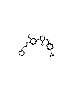 CCc1cc(N2CC[C@H](Oc3ccc(C4CC4)cc3)C2=O)ccc1OCCN1CCCC1